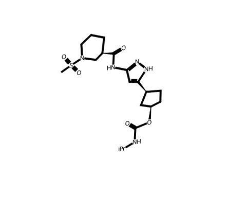 CC(C)NC(=O)O[C@@H]1CC[C@H](c2cc(NC(=O)[C@@H]3CCCN(S(C)(=O)=O)C3)n[nH]2)C1